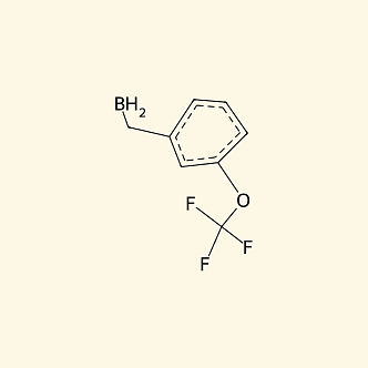 BCc1cccc(OC(F)(F)F)c1